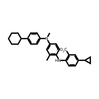 Cc1cc(N(C)c2ccc(C3CCCCC3)cc2)ccc1Nc1ccc(C2CC2)cc1C(=O)O